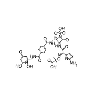 CC(C)(ON=C(C(=O)N[C@@H]1C(=O)N(S(=O)(=O)O)[C@H]1CNC(=O)c1ccc(C(=O)NCc2cc(=O)cc(O)n2O)cc1)c1csc(N)n1)C(=O)O